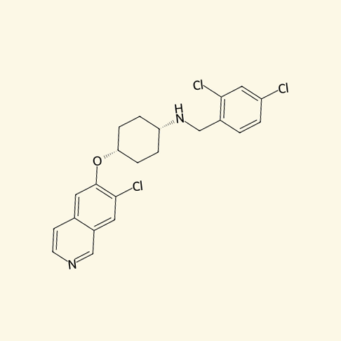 Clc1ccc(CN[C@H]2CC[C@@H](Oc3cc4ccncc4cc3Cl)CC2)c(Cl)c1